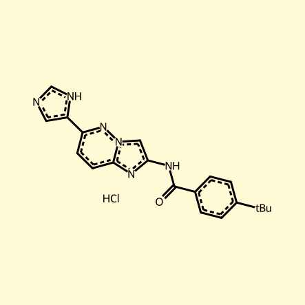 CC(C)(C)c1ccc(C(=O)Nc2cn3nc(-c4cnc[nH]4)ccc3n2)cc1.Cl